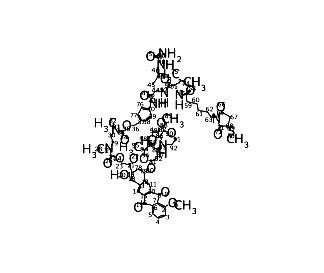 COc1cccc2c1C(=O)c1cc3c(cc1C2=O)C[C@@](O)(C(=O)COC(=O)N(C)CCN(C)C(=O)OCc1ccc(NC(=O)[C@H](CCCNC(N)=O)NC(=O)[C@@H](NC(=O)CCCCCN2C(=O)CC(SC)C2=O)C(C)C)cc1)C[C@@H]3O[C@H]1C[C@H]2[C@H](O[C@@H]3[C@@H](OC)OCCN32)[C@H](C)O1